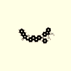 CC1(C)c2ccccc2-c2ccc(N(c3ccccc3)c3ccc4c(ccc5c6ccc(C=C7C(=O)c8cc9ccccc9cc8C7=O)cc6ccc45)c3)cc21